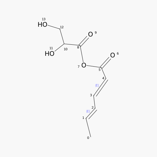 C/C=C/C=C/C(=O)OC(=O)C(O)CO